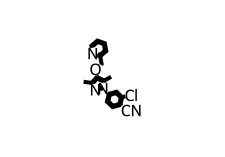 Cc1nn(-c2ccc(C#N)c(Cl)c2)c(C)c1OCc1ccccn1